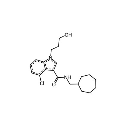 O=C(NCC1CCCCCC1)c1cn(CCCO)c2cccc(Cl)c12